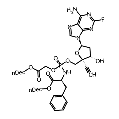 C#C[C@]1(COP(=O)(N[C@@H](Cc2ccccc2)C(=O)OCCCCCCCCCC)OCC(=O)OCCCCCCCCCC)O[C@@H](n2cnc3c(N)nc(F)nc32)C[C@@H]1O